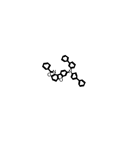 c1ccc(-c2ccc(N(c3cccc(-c4ccccc4)c3)c3ccc4c(c3)oc3ccc5oc(-c6ccccc6)nc5c34)cc2)cc1